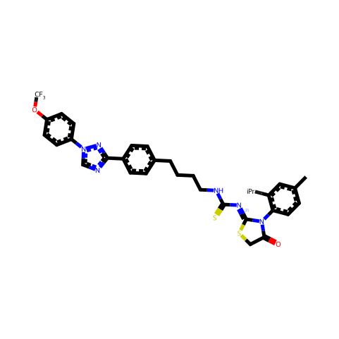 Cc1ccc(N2C(=O)CS/C2=N\C(=S)NCCCCc2ccc(-c3ncn(-c4ccc(OC(F)(F)F)cc4)n3)cc2)c(C(C)C)c1